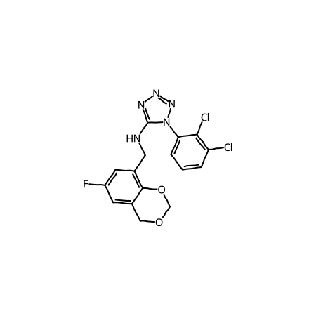 Fc1cc(CNc2nnnn2-c2cccc(Cl)c2Cl)c2c(c1)COCO2